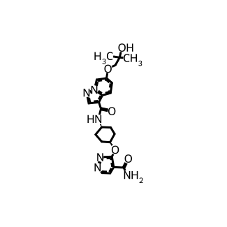 CC(C)(O)COc1ccc2c(C(=O)N[C@H]3CC[C@H](Oc4nnccc4C(N)=O)CC3)cnn2c1